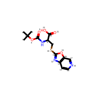 CC(C)(C)OC(=O)NC(CSc1nc2ccncc2o1)C(=O)O